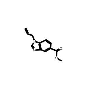 C=CCn1cnc2cc(C(=O)OC)ccc21